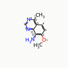 COc1ccc2c(C)ncnc2c1N